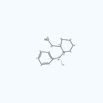 C[C@H](c1ccccc1)N1CCCCC1CO